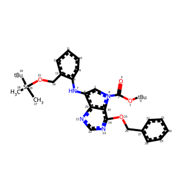 CC(C)(C)OC(=O)n1cc(Nc2ccccc2CO[Si](C)(C)C(C)(C)C)c2ncnc(OCc3ccccc3)c21